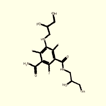 NC(=O)c1c(I)c(NCC(O)CO)c(I)c(C(=O)NCC(O)CO)c1I